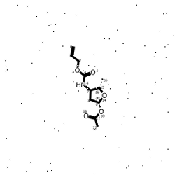 C=CCOC(=O)NC1C[C@@H](OC(C)=O)O[C@H]1C